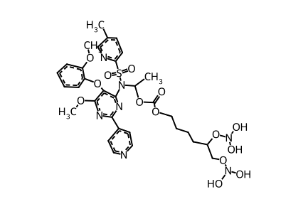 COc1ccccc1Oc1c(OC)nc(-c2ccncc2)nc1N(C(C)OC(=O)OCCCCC(CON(O)O)ON(O)O)S(=O)(=O)c1ccc(C)cn1